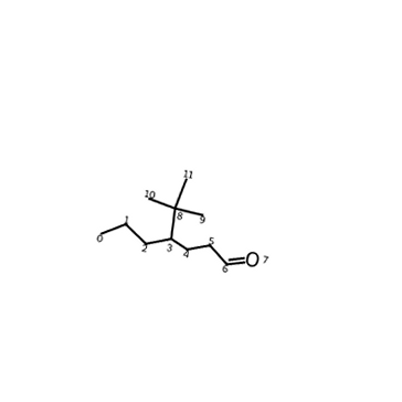 CCCC(CCC=O)C(C)(C)C